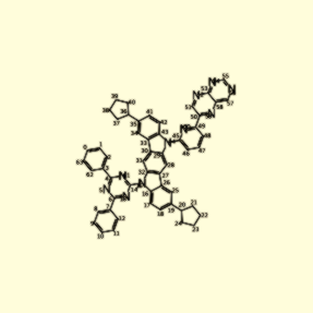 c1ccc(-c2nc(-c3ccccc3)nc(-n3c4ccc(C5CCCC5)cc4c4cc5c(cc43)c3cc(C4CCCC4)ccc3n5-c3cccc(-c4cnc5ncncc5n4)n3)n2)cc1